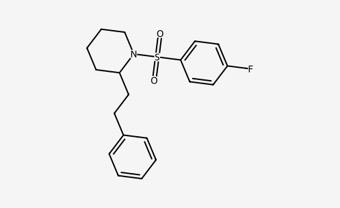 O=S(=O)(c1ccc(F)cc1)N1CCCCC1CCc1ccccc1